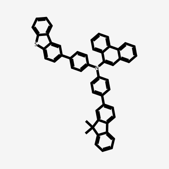 CC1(C)c2ccccc2-c2ccc(-c3ccc(N(c4ccc(-c5ccc6sc7ccccc7c6c5)cc4)c4cc5ccccc5c5ccccc45)cc3)cc21